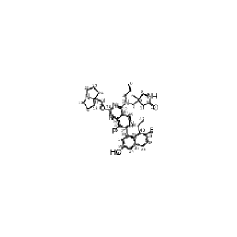 CCCN(CC1(C)CNC(=O)C1)c1nc(OCC23CCCN2CCC3)nc2c(F)c(-c3cc(O)cc4ccc(F)c(CC)c34)ncc12